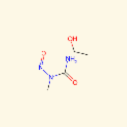 CCO.CN(N=O)C(N)=O